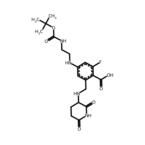 CC(C)(C)OC(=O)NCCNc1cc(F)c(C(=O)O)c(CNC2CCC(=O)NC2=O)c1